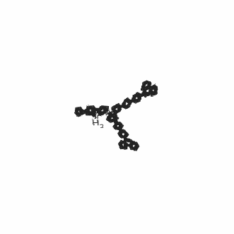 c1ccc(-c2ccc3c(c2)[SiH2]c2cc(-n4c5ccc(-c6ccc(-c7ccc(-c8cc9ccccc9c9ccccc89)cc7)cc6)cc5c5cc(-c6ccc(-c7ccc(-c8cc9ccccc9c9ccccc89)cc7)cc6)ccc54)ccc2-3)cc1